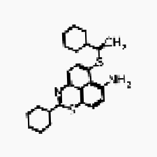 C=C(Sc1ccc2c3c(ccc(N)c13)SC(C1CCCCC1)=N2)C1CCCCC1